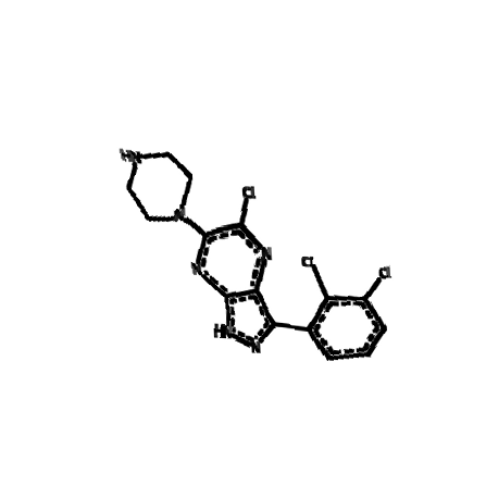 Clc1cccc(-c2n[nH]c3nc(N4CCNCC4)c(Cl)nc23)c1Cl